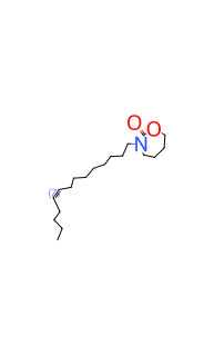 CCCC/C=C\CCCCCCCCN1CCCCOC1=O